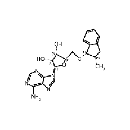 C[C@H]1Cc2ccccc2[C@H]1OC[C@H]1O[C@@H](n2cnc3c(N)ncnc32)[C@H](O)[C@@H]1O